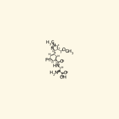 COCc1cn(C)nc1-c1cc(F)cc(C(=O)NC[C@@H](N)C(=O)O)c1